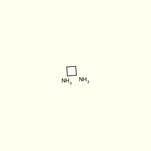 C1CCC1.N.N